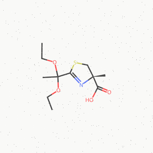 CCOC(C)(OCC)C1=N[C@@](C)(C(=O)O)CS1